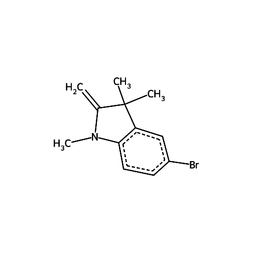 C=C1N(C)c2ccc(Br)cc2C1(C)C